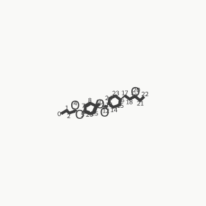 CCCC(=O)Oc1ccc(OC(=O)[C@H]2CC[C@H](CCC(=O)CC)CC2)cc1